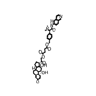 CN(C)C(C(=O)Nc1ccc2cnccc2c1)c1ccc(COC(=O)CCC(=O)OCC(=O)[C@H]2CCC3[C@@H]4CCC5=CC(=O)C=C[C@]5(C)C4[C@@H](O)C[C@@]32O)cc1